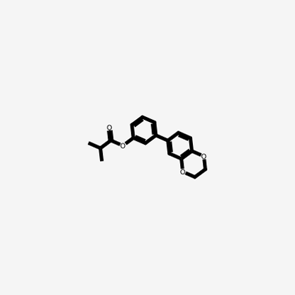 CC(C)C(=O)Oc1cccc(-c2ccc3c(c2)OCCO3)c1